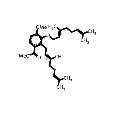 COC(=O)c1ccc(OC)c(OC/C=C(\C)CCC=C(C)C)c1C/C=C(\C)CCC=C(C)C